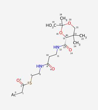 CC(=O)CC(=O)SCCNC(=O)CCNC(=O)[C@@H]1OC(C)(C(=O)O)OCC1(C)C